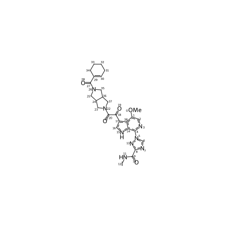 COc1cnc(-n2cnc(C(=O)NI)n2)c2[nH]cc(C(=O)C(=O)N3CC4CN(C(=O)C5=CCCCC5)CC4C3)c12